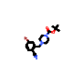 CC(C)(C)OC(=O)N1CCN(Cc2cc(Br)ccc2C#N)CC1